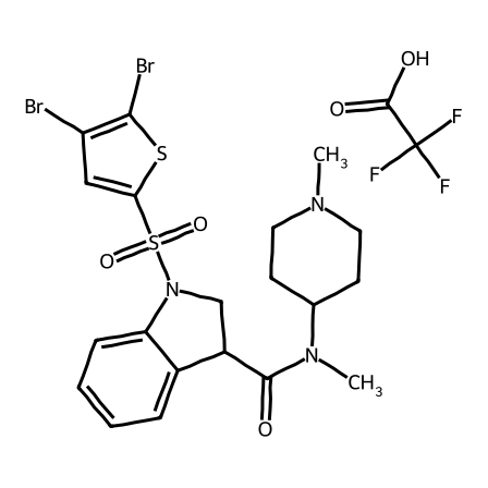 CN1CCC(N(C)C(=O)C2CN(S(=O)(=O)c3cc(Br)c(Br)s3)c3ccccc32)CC1.O=C(O)C(F)(F)F